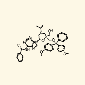 COc1ccc(C(OC[C@]2(CO)CN(C(C)C)C[C@H](n3cnc4c(NC(=O)c5ccccc5)ncnc43)O2)(c2ccccc2)c2ccc(OC)cc2)cc1